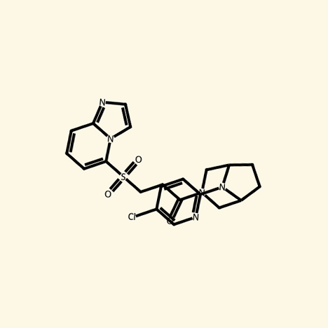 O=C(CCS(=O)(=O)c1cccc2nccn12)N1CC2CCC(C1)N2c1ccc(Cl)cn1